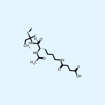 CCC(C)(NC(=O)[C@H](CCCCNC(=O)CCC(=O)O)NC(C)=O)SI